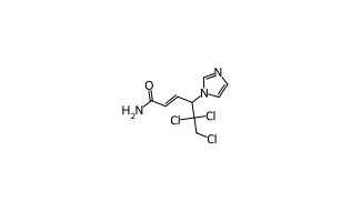 NC(=O)C=CC(n1ccnc1)C(Cl)(Cl)CCl